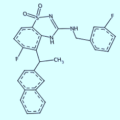 CC(c1ccc2ccccc2c1)c1c(F)ccc2c1NC(NCc1cccc(F)c1)=NS2(=O)=O